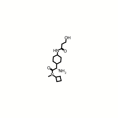 CN(C(=O)[C@@H](N)C1CCC(NC(=O)CCO)CC1)C1CCC1